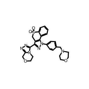 O=S1(=O)Cc2c(-c3nnc4n3CCOC4)nn(-c3ccc(CN4CCOCC4)cc3)c2-c2ccccc21